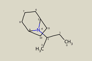 CCC(C)N1C2CCCC1CC2